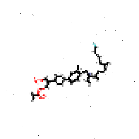 C=C(C)C(=O)OCC(CO)C1CCC(c2ccc(/C=C(\CC)C(C)CCC(C)CCCCF)c(C)c2)CC1